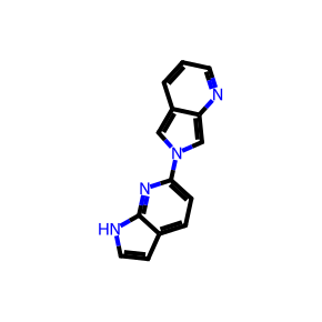 c1cnc2cn(-c3ccc4cc[nH]c4n3)cc2c1